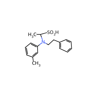 Cc1cccc(N(CCc2ccccc2)C(C)S(=O)(=O)O)c1